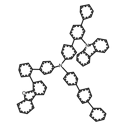 c1ccc(-c2ccc(-c3ccc(N(c4ccc(-c5ccccc5-c5cccc6c5oc5ccccc56)cc4)c4ccc(-c5ccc(-c6ccccc6)cc5-n5c6ccccc6c6ccccc65)cc4)cc3)cc2)cc1